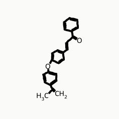 C=C(C)c1ccc(Oc2ccc(/C=C/C(=O)c3ccccc3)cc2)cc1